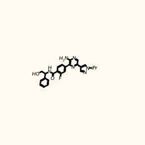 CC(C)n1cc(-c2cnc(N)c(-c3ccc(C(=O)NC(CO)c4ccccc4)c(F)c3)n2)cn1